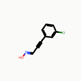 ON=CC#Cc1cccc(Cl)c1